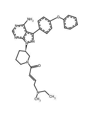 CCN(C)C/C=C/C(=O)N1CCC[C@@H](n2nc(-c3ccc(Oc4ccccc4)cc3)c3c(N)ncnc32)C1